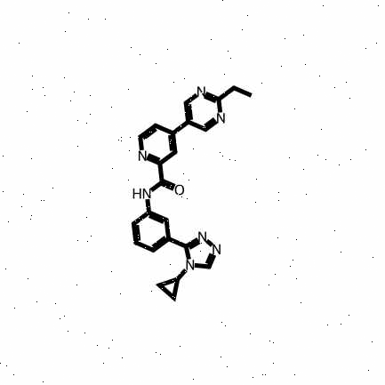 CCc1ncc(-c2ccnc(C(=O)Nc3cccc(-c4nncn4C4CC4)c3)c2)cn1